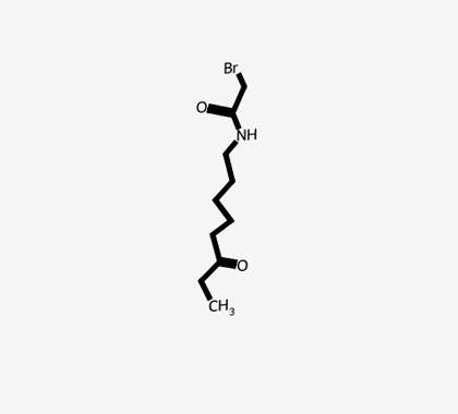 CCC(=O)CCCCCNC(=O)CBr